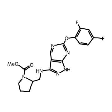 COC(=O)N1CCCC1CNc1n[nH]c2nc(Oc3ccc(F)cc3F)ncc12